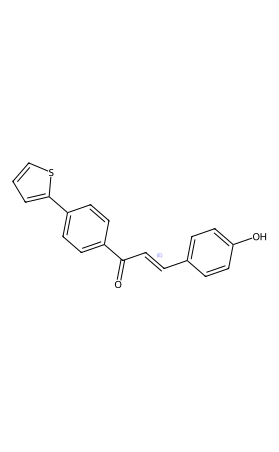 O=C(/C=C/c1ccc(O)cc1)c1ccc(-c2cccs2)cc1